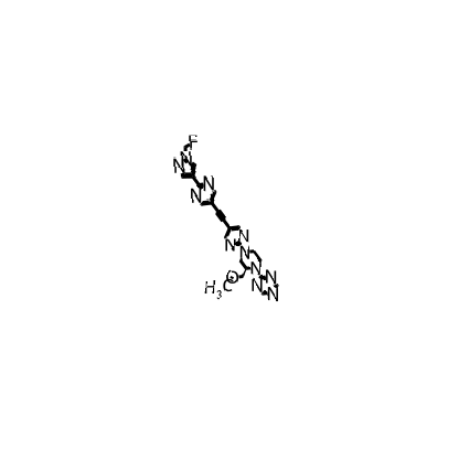 COC[C@H]1CN(c2ncc(C#Cc3cnc(-c4cnn(CF)c4)nc3)cn2)CCN1c1ncncn1